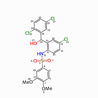 COc1ccc(S(=O)(=O)Nc2ccc(Cl)cc2C(O)c2cc(Cl)ccc2Cl)cc1OC